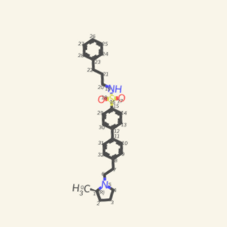 C[C@@H]1CCCN1CCc1ccc(-c2ccc(S(=O)(=O)NCCCc3ccccc3)cc2)cc1